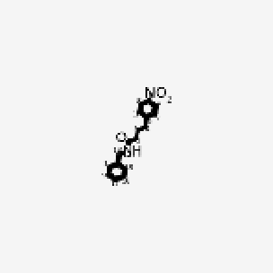 O=C(CCCc1ccc([N+](=O)[O-])cc1)NCc1ccccc1